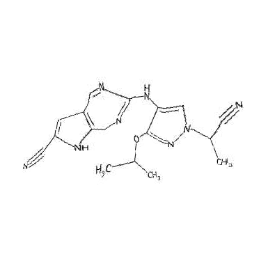 CC(C)Oc1nn(C(C)C#N)cc1Nc1ncc2cc(C#N)[nH]c2n1